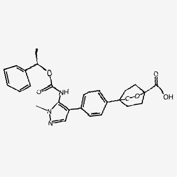 C[C@@H](OC(=O)Nc1c(-c2ccc(C34CCC(C(=O)O)(CC3)OC4)cc2)cnn1C)c1ccccc1